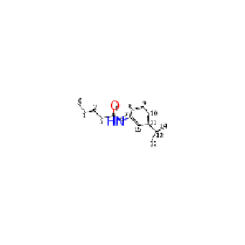 CCCCC(=O)Nc1cccc(C(C)C)c1